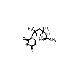 CC(C)(Cn1ccc(=O)[nH]c1=O)CC(C)(C)NC(=N)N